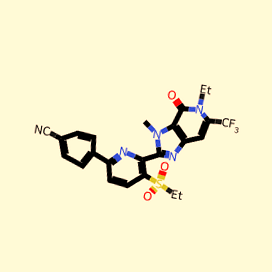 CCn1c(C(F)(F)F)cc2nc(-c3nc(-c4ccc(C#N)cc4)ccc3S(=O)(=O)CC)n(C)c2c1=O